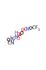 N#Cc1ccccc1CN1CCC(NC(=O)c2cc3ccc(OC4CCN(c5ccc(C(F)(F)F)cc5)CC4)cc3o2)CC1I